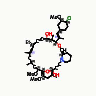 CC[C@H]1/C=C(\C)C[C@H](C)C[C@H](OC)[C@H]2O[C@](O)(CCN3CCCC[C@H]3CO[C@H](/C(C)=C/[C@@H]3CC[C@H](Cl)[C@H](OC)C3)[C@H](C)[C@@H](O)CC1)[C@H](C)C[C@@H]2OC